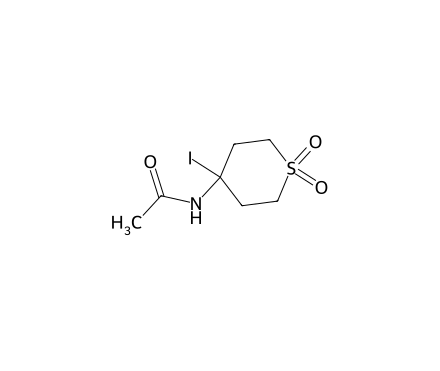 CC(=O)NC1(I)CCS(=O)(=O)CC1